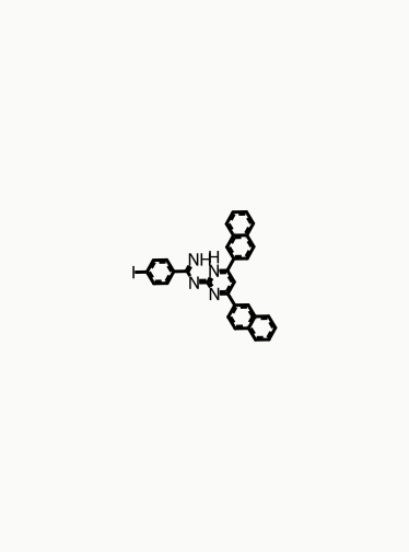 N=C(/N=c1/nc(-c2ccc3ccccc3c2)cc(-c2ccc3ccccc3c2)[nH]1)c1ccc(I)cc1